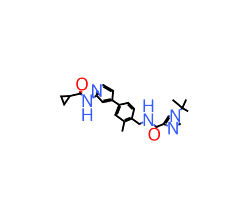 Cc1cc(-c2ccnc(NC(=O)C3CC3)c2)ccc1CNC(=O)c1cn(C(C)(C)C)cn1